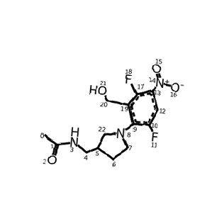 CC(=O)NCC1CCN(c2c(F)cc([N+](=O)[O-])c(F)c2CO)C1